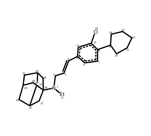 CCN(C/C=C/c1ccc(C2CCCCC2)c(Cl)c1)C12CC3CC(CC(C3)C1)C2